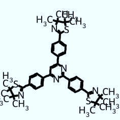 CC1(C)N=C(c2ccc(-c3cc(-c4ccc(C5=NC(C)(C)C(C)(C)S5)cc4)nc(-c4ccc(C5=NC(C)(C)C(C)(C)S5)cc4)n3)cc2)SC1(C)C